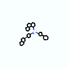 c1ccc2cc(-c3ccc(-c4nc(-c5ccc6c(c5)sc5ccccc56)nc(-c5cccc6ccc7ccccc7c56)n4)cc3)ccc2c1